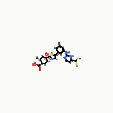 Cc1cc(Nc2nccc(C(F)F)n2)cc(-c2cnc([C@@]3(O)CC[C@H](C(=O)O)[C@H](C)C3)s2)c1